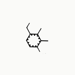 COc1ccc(CC(=O)O)c(C)c1C